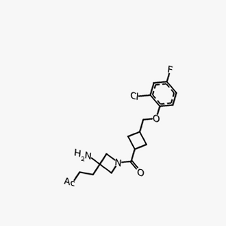 CC(=O)CCC1(N)CN(C(=O)C2CC(COc3ccc(F)cc3Cl)C2)C1